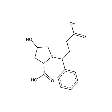 O=C(O)CCC(c1ccccc1)N1CC(O)C[C@H]1C(=O)O